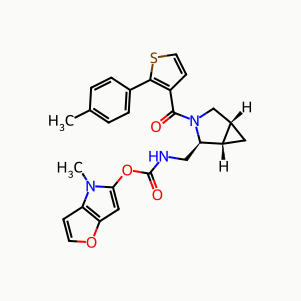 Cc1ccc(-c2sccc2C(=O)N2C[C@@H]3C[C@@H]3[C@H]2CNC(=O)Oc2cc3occc3n2C)cc1